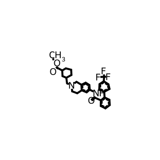 CCOC(=O)C1CCCC(CN2CCc3cc(NC(=O)c4ccccc4-c4ccc(C(F)(F)F)cc4)ccc3C2)C1